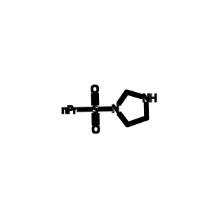 CCCS(=O)(=O)N1CCNC1